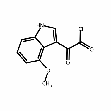 COc1cccc2[nH]cc(C(=O)C(=O)Cl)c12